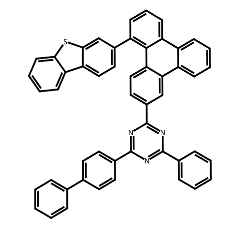 c1ccc(-c2ccc(-c3nc(-c4ccccc4)nc(-c4ccc5c(c4)c4ccccc4c4cccc(-c6ccc7c(c6)sc6ccccc67)c45)n3)cc2)cc1